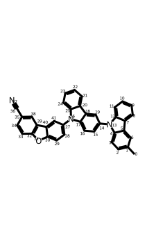 Cc1ccc2c(c1)c1ccccc1n2-c1ccc2c(c1)c1ccccc1n2-c1ccc2oc3ccc(C#N)cc3c2c1